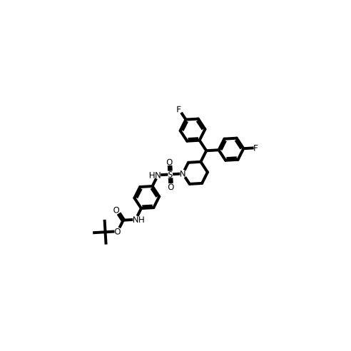 CC(C)(C)OC(=O)Nc1ccc(NS(=O)(=O)N2CCCC(C(c3ccc(F)cc3)c3ccc(F)cc3)C2)cc1